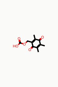 CC1=C(C)C(=O)C(COC(=O)O)=C(C)C1=O